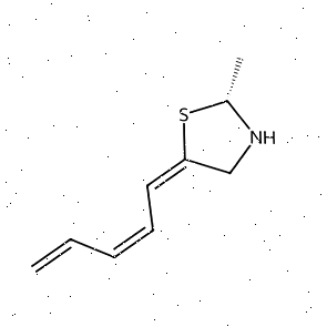 C=C/C=C\C=C1/CN[C@@H](C)S1